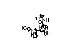 CNc1cc(-c2cn(C3CC(O)C3)c3ncccc23)nc2c(C(=O)NC3CC[C@H]3OC)cnn12